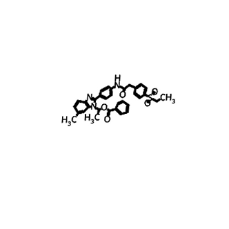 CCS(=O)(=O)c1ccc(CC(=O)Nc2ccc(-c3nc4ccc(C)cc4n3C(C)OC(=O)c3ccccc3)cc2)cc1